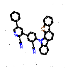 N#Cc1cc(-c2cc(-c3ccccc3)cnc2C#N)ccc1-n1c2ccccc2c2ccc3c4ccccc4sc3c21